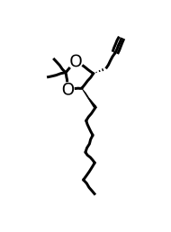 C#CC[C@H]1OC(C)(C)O[C@@H]1CCCCCCC